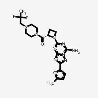 Cc1ccc(-c2nc3nc(N4CC[C@H]4C(=O)N4CCN(CC(F)(F)C(F)(F)F)CC4)nc(N)n3n2)o1